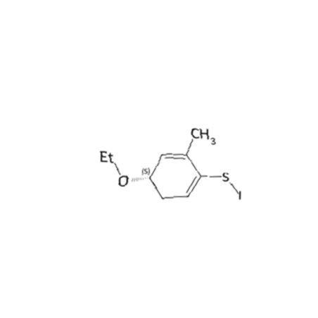 CCO[C@@H]1C=C(C)C(SI)=CC1